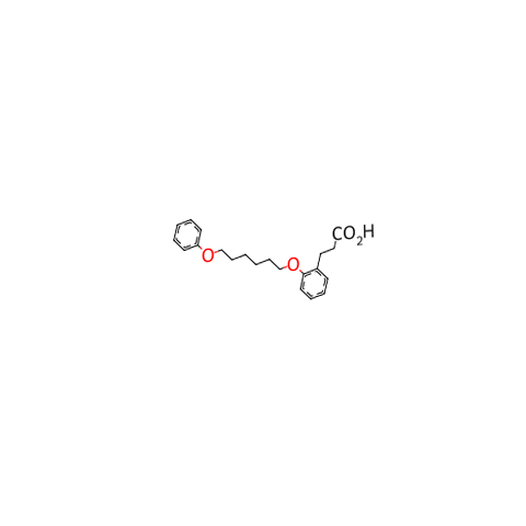 O=C(O)CCc1ccccc1OCCCCCCOc1ccccc1